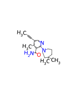 CC#Cc1cnc(N2CCCC(C)(C)CC2)c(C(N)=O)c1C